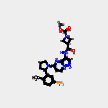 Cc1ccc(P)cc1C1CCCN1c1ccn2ncc(NC(=O)C3CN(C(=O)OC(C)(C)C)C3)c2n1